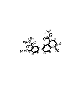 CCN(CC)S(=O)(=O)c1cc(-c2ccc3c(c2)N(C(=O)OC(C)C)C[C@H](C)N3C(C)=O)ccc1OC